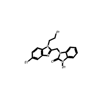 CCc1ccc2c(c1)nc(Cn1c(=O)n(C(C)C)c3ccccc31)n2CCC(C)C